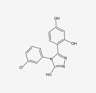 Oc1ccc(-c2nnc(O)n2-c2cccc(Cl)c2)c(O)c1